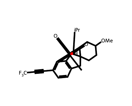 COC1CCC2(CC1)Cc1ccc(C#CC(F)(F)F)cc1[C@]21NC(=O)N(C(C)C)C1=O